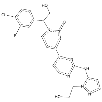 O=c1cc(-c2ccnc(Nc3ccnn3CCO)n2)ccn1C(CO)c1ccc(Cl)c(F)c1